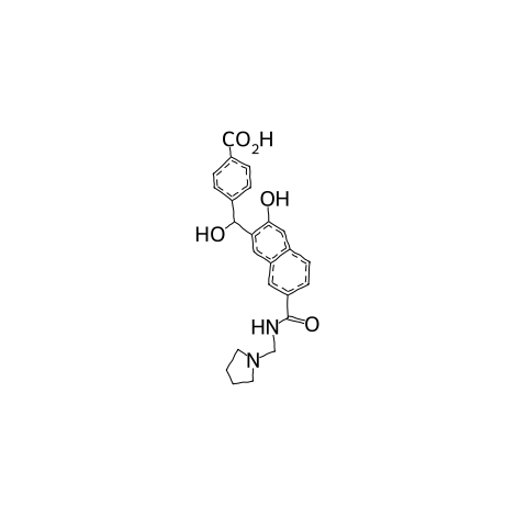 O=C(O)c1ccc(C(O)c2cc3cc(C(=O)NCN4CCCC4)ccc3cc2O)cc1